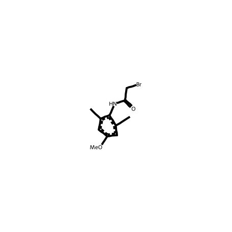 COc1cc(C)c(NC(=O)CBr)c(C)c1